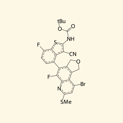 CSc1cc(Br)c2c3c(c(-c4ccc(F)c5sc(NC(=O)OC(C)(C)C)c(C#N)c45)c(F)c2n1)COC3